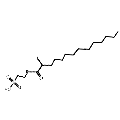 CCCCCCCCCCCCC(I)C(=O)NCCS(=O)(=O)O